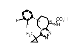 O=C(O)N[C@@H]1CC[C@@H](c2cccc(F)c2F)Cn2c1nnc2C1(C(F)(F)F)CC1